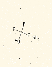 F[C](F)(F)[Ag].S